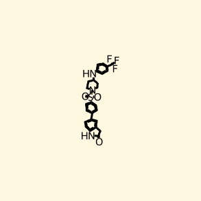 O=C1Cc2cc(-c3ccc(S(=O)(=O)N4CCC(Nc5ccc(C(F)(F)F)cc5)CC4)cc3)ccc2N1